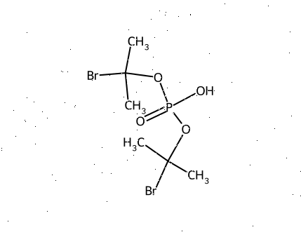 CC(C)(Br)OP(=O)(O)OC(C)(C)Br